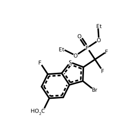 CCOP(=O)(OCC)C(F)(F)c1sc2c(F)cc(C(=O)O)cc2c1Br